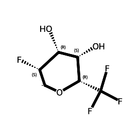 O[C@@H]1[C@H](O)[C@H](C(F)(F)F)O[CH][C@@H]1F